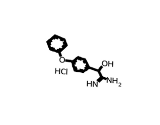 Cl.N=C(N)C(O)c1ccc(Oc2ccccc2)cc1